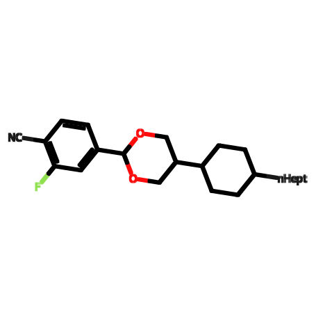 CCCCCCCC1CCC(C2COC(c3ccc(C#N)c(F)c3)OC2)CC1